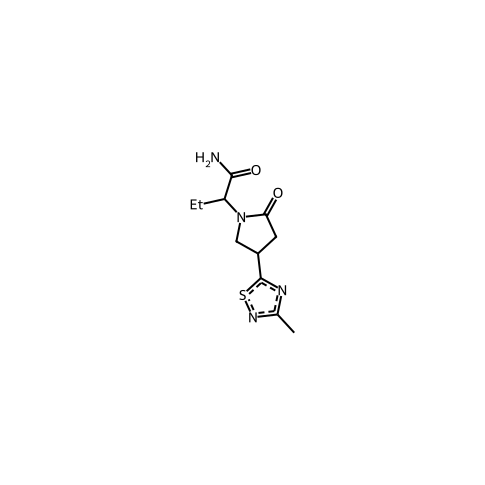 CCC(C(N)=O)N1CC(c2nc(C)ns2)CC1=O